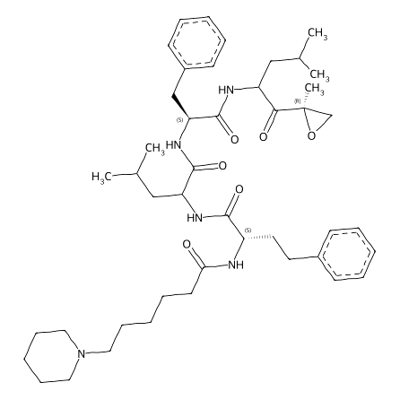 CC(C)CC(NC(=O)[C@H](CCc1ccccc1)NC(=O)CCCCCN1CCCCC1)C(=O)N[C@@H](Cc1ccccc1)C(=O)NC(CC(C)C)C(=O)[C@@]1(C)CO1